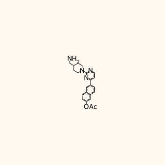 CC(=O)Oc1ccc2cc(-c3ccnc(N4CCC(CN)CC4)n3)ccc2c1